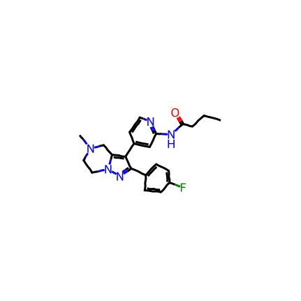 CCCC(=O)Nc1cc(-c2c(-c3ccc(F)cc3)nn3c2CN(C)CC3)ccn1